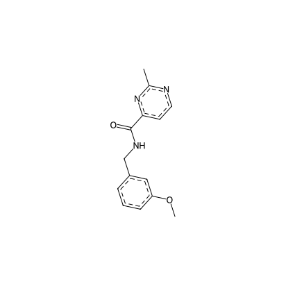 COc1cccc(CNC(=O)c2ccnc(C)n2)c1